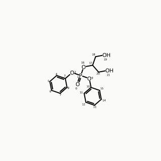 O=P(Oc1ccccc1)(Oc1ccccc1)OC(CO)CO